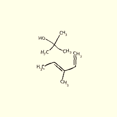 C=CC(C)=CC.CC(C)(C)O